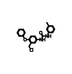 Cc1cccc(NC(=O)Nc2ccc(Oc3ccccc3)c(CCl)c2)c1